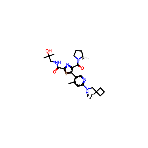 Cc1cc(NCC2(C(F)(F)F)CCC2)ncc1-c1sc(C(=O)NCC(C)(C)O)nc1C(=O)N1CCC[C@@H]1C